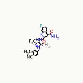 Cc1cc(Cn2nc(C(F)(F)F)c(NC(=O)c3cc(C(N)=O)c4ccc(F)cc4n3)c2C)ccc1C#N